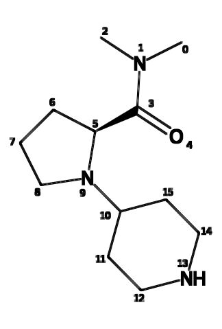 CN(C)C(=O)[C@@H]1CCCN1C1CCNCC1